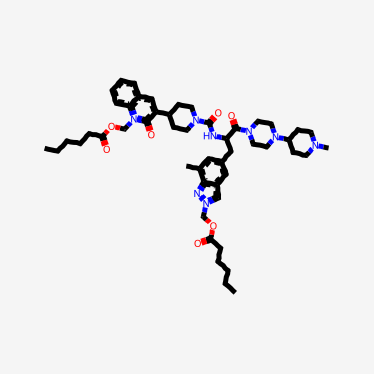 CCCCCC(=O)OCn1cc2cc(CC(NC(=O)N3CCC(c4cc5ccccc5n(COC(=O)CCCCC)c4=O)CC3)C(=O)N3CCN(C4CCN(C)CC4)CC3)cc(C)c2n1